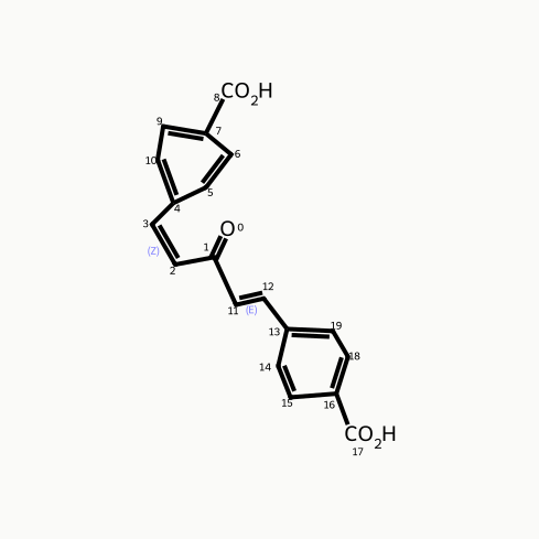 O=C(/C=C\c1ccc(C(=O)O)cc1)/C=C/c1ccc(C(=O)O)cc1